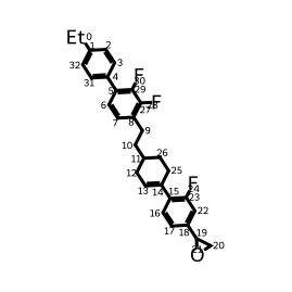 CCc1ccc(-c2ccc(CCC3CC=C(c4ccc(C5CO5)cc4F)CC3)c(F)c2F)cc1